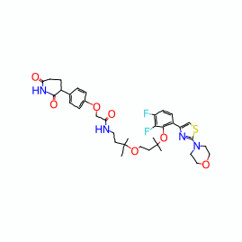 CC(C)(CCNC(=O)COc1ccc(C2CCC(=O)NC2=O)cc1)OCCC(C)(C)Oc1c(-c2csc(N3CCOCC3)n2)ccc(F)c1F